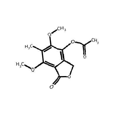 COc1c(C)c(OC)c2c(c1OC(C)=O)COC2=O